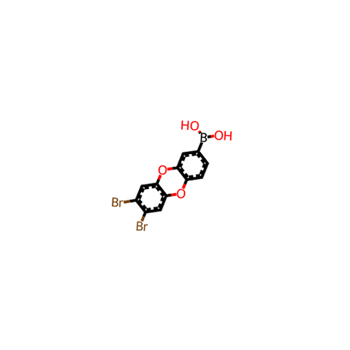 OB(O)c1ccc2c(c1)Oc1cc(Br)c(Br)cc1O2